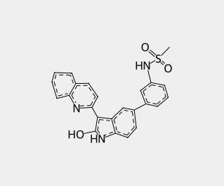 CS(=O)(=O)Nc1cccc(-c2ccc3[nH]c(O)c(-c4ccc5ccccc5n4)c3c2)c1